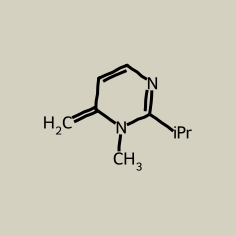 C=C1C=CN=C(C(C)C)N1C